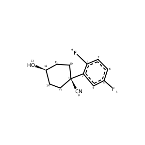 N#C[C@]1(c2cc(F)ccc2F)CC[C@H](O)CC1